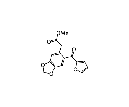 COC(=O)Cc1cc2c(cc1C(=O)c1ccco1)OCO2